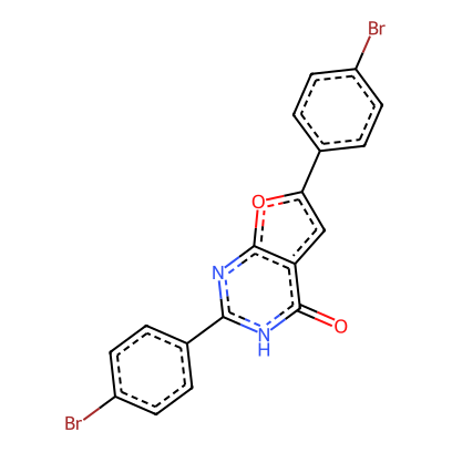 O=c1[nH]c(-c2ccc(Br)cc2)nc2oc(-c3ccc(Br)cc3)cc12